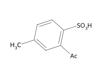 CC(=O)c1cc(C)ccc1S(=O)(=O)O